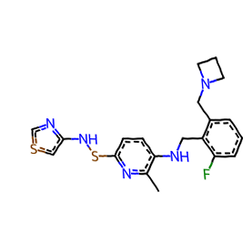 Cc1nc(SNc2cscn2)ccc1NCc1c(F)cccc1CN1CCC1